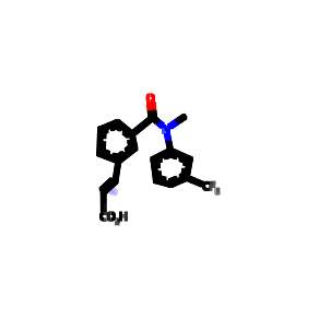 CN(C(=O)c1cccc(/C=C/C(=O)O)c1)c1cccc(C(F)(F)F)c1